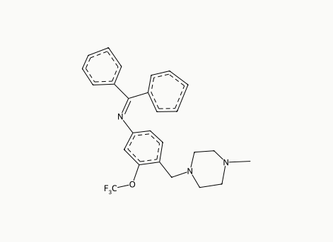 CN1CCN(Cc2ccc(N=C(c3ccccc3)c3ccccc3)cc2OC(F)(F)F)CC1